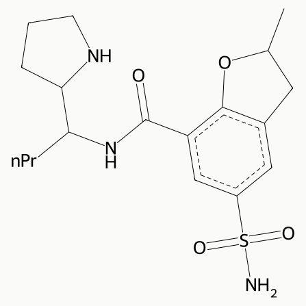 CCCC(NC(=O)c1cc(S(N)(=O)=O)cc2c1OC(C)C2)C1CCCN1